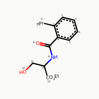 CCCc1ccccc1C(=O)NC(CO)C(=O)OCC